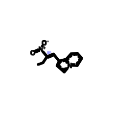 CC/C(=C\c1ccn2ccccc12)[N+](=O)[O-]